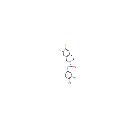 O=C(Nc1ccc(Cl)c(Cl)c1)N1CCc2cc(F)c(F)cc2C1